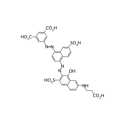 O=C(O)CCNc1ccc2cc(S(=O)(=O)O)c(N=Nc3ccc(N=Nc4cc(C(=O)O)cc(C(=O)O)c4)c4cc(S(=O)(=O)O)ccc34)c(O)c2c1